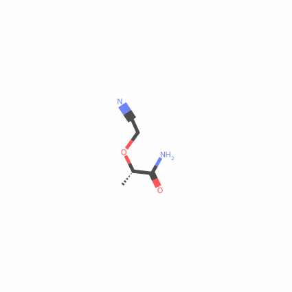 C[C@H](OCC#N)C(N)=O